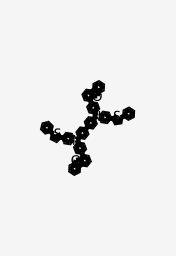 c1ccc(-c2ccc(-c3ccc(N(c4ccc(-c5ccc(N(c6ccc(-c7ccc(-c8ccccc8)s7)cc6)c6ccc(-c7cccc8c7oc7ccccc78)cc6)cc5)cc4)c4ccc(-c5cccc6c5oc5ccccc56)cc4)cc3)s2)cc1